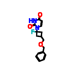 O=c1ccn(C2(F)CC(COCc3ccccc3)C2)c(=O)[nH]1